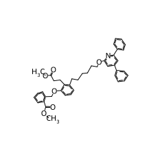 COC(=O)CCc1c(CCCCCCOc2cc(-c3ccccc3)cc(-c3ccccc3)n2)cccc1OCc1ccccc1C(=O)OC